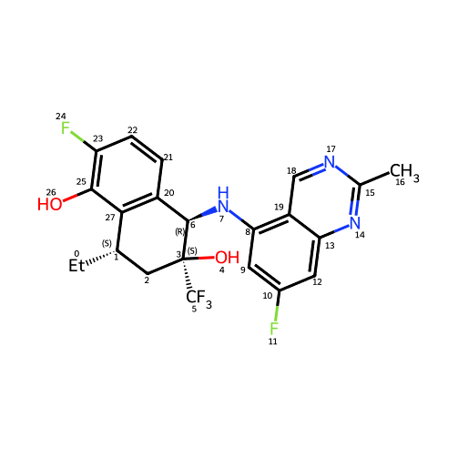 CC[C@H]1C[C@@](O)(C(F)(F)F)[C@H](Nc2cc(F)cc3nc(C)ncc23)c2ccc(F)c(O)c21